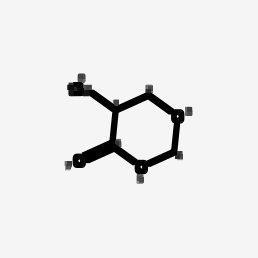 CC(C)(C)C1COCOC1=O